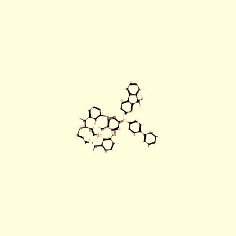 CC(C)c1cccc2c1N1C3=C4N(c5c(C(C)C)cccc5C(C)/[N+]4=C/C=C/CC3C2C)C1c1ccc(N(c2ccc(-c3ccccc3)cc2)c2ccc3c(c2)C(C)(C)c2ccccc2-3)cc1